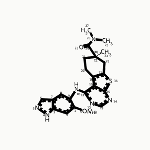 COc1cc2[nH]ncc2cc1Nc1ncnc2sc3c(c12)CC[C@@](C)(C(=O)N(C)C)C3